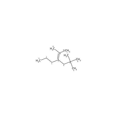 CCCC(CC(C)(C)C)=C(C)C